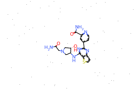 NC(=O)CN1C[C@H](Nc2nc(-c3ccnc(C(N)=O)c3)nc3ccsc23)[C@@H](O)C1